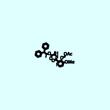 COc1ccnc(C(=O)NC(C)C(=O)O[C@@H](C)C(c2ccccc2)c2ccccc2)c1OCOC(C)=O